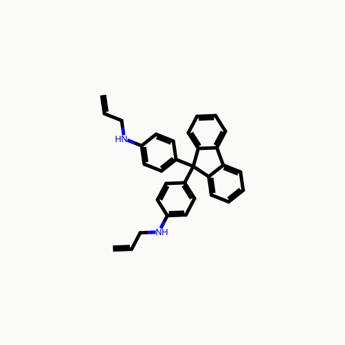 C=CCNc1ccc(C2(c3ccc(NCC=C)cc3)c3ccccc3-c3ccccc32)cc1